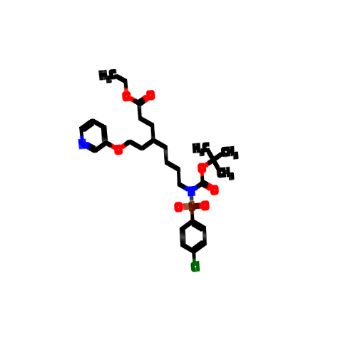 CCOC(=O)CCC(CCCCN(C(=O)OC(C)(C)C)S(=O)(=O)c1ccc(Cl)cc1)CCOc1cccnc1